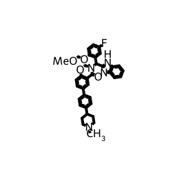 COCOc1ccc(F)cc1C(c1nc2ccccc2[nH]1)N1COc2ccc(-c3ccc(C4CCN(C)CC4)cc3)cc2C1=O